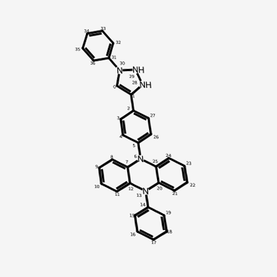 C1=C(c2ccc(N3c4ccccc4N(c4ccccc4)c4ccccc43)cc2)NNN1c1ccccc1